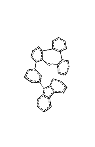 c1cc(-c2cccc3c2Oc2ccccc2-c2ccccc2-3)cc(-n2c3ccccc3c3ccccc32)c1